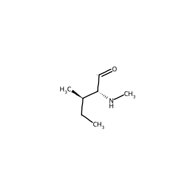 CC[C@@H](C)[C@H]([C]=O)NC